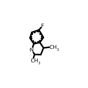 CC1CC(C)c2cc(F)ccc2[N]1